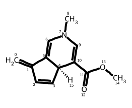 C=C1C=C[C@H]2C1=CN(C)C=C2C(=O)OC